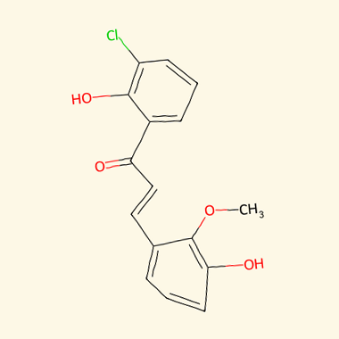 COc1c(O)cccc1/C=C/C(=O)c1cccc(Cl)c1O